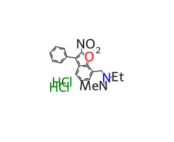 CCN(Cc1cccc2c(-c3ccccc3)c([N+](=O)[O-])oc12)NC.Cl.Cl